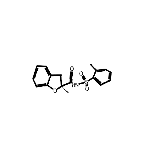 Cc1ccccc1S(=O)(=O)NC(=O)[C@]1(C)Cc2ccccc2O1